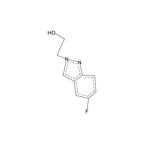 OCCn1cc2cc(F)ccc2n1